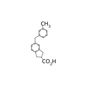 Cc1cccc(Cc2ccc3c(c2)CC(C(=O)O)C3)c1